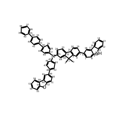 CC1(C)c2cc(-c3ccc4[nH]c5ccccc5c4c3)ccc2-c2ccc(N(c3ccc(-c4ccc(-c5ccccc5)cc4)cc3)c3ccc(-c4ccc5oc6ccccc6c5c4)cc3)cc21